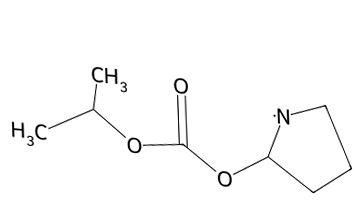 CC(C)OC(=O)OC1CCC[N]1